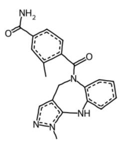 Cc1cc(C(N)=O)ccc1C(=O)N1Cc2cnn(C)c2Nc2ccccc21